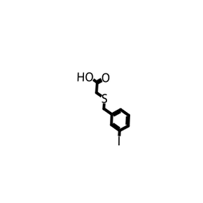 O=C(O)CSCc1cccc(I)c1